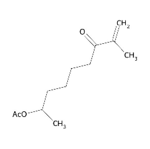 C=C(C)C(=O)CCCCC(C)OC(C)=O